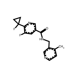 Cc1ccncc1CNC(=O)c1cnc(C2(F)CC2)c(F)c1